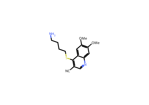 COc1cc2ncc(C#N)c(SCCCCN)c2cc1OC